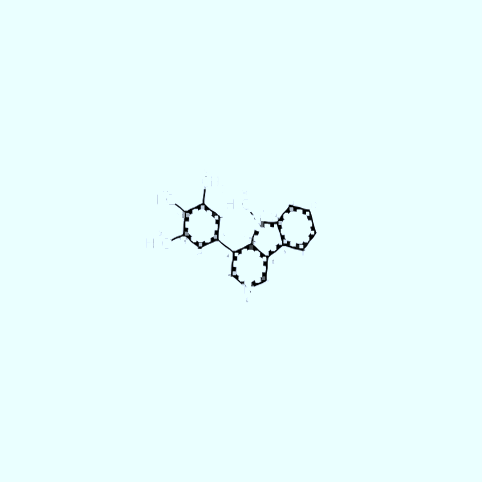 Cc1cc(-c2cncc3c4ccccc4n(C)c23)cc(C)c1C